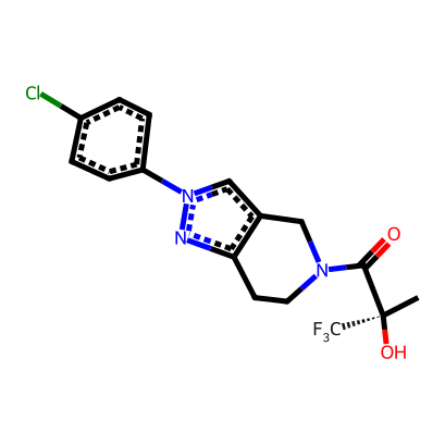 C[C@@](O)(C(=O)N1CCc2nn(-c3ccc(Cl)cc3)cc2C1)C(F)(F)F